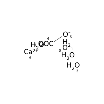 O.O.O.O.O=C([O-])[O-].[Ca+2]